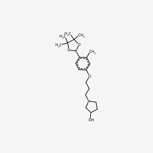 Cc1cc(OCCCN2CCC(O)C2)ccc1B1OC(C)(C)C(C)(C)O1